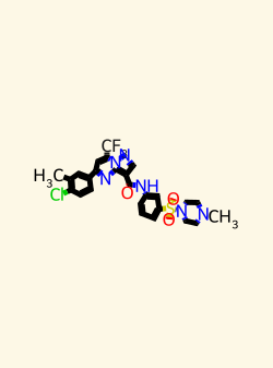 Cc1cc(-c2cc(C(F)(F)F)n3ncc(C(=O)Nc4cccc(S(=O)(=O)N5CCN(C)CC5)c4)c3n2)ccc1Cl